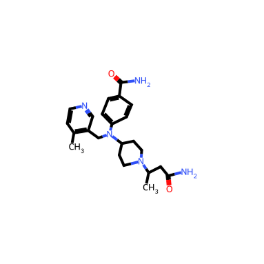 Cc1ccncc1CN(c1ccc(C(N)=O)cc1)C1CCN(C(C)CC(N)=O)CC1